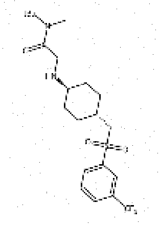 CN(C(=O)CN[C@H]1CC[C@H](CS(=O)(=O)c2cccc(C(F)(F)F)c2)CC1)C(C)(C)C